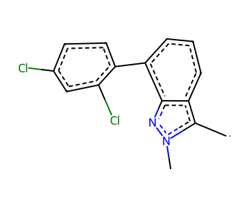 [CH2]c1c2cccc(-c3ccc(Cl)cc3Cl)c2nn1C